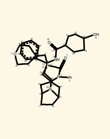 CC(C)N1C(=O)N(CC2CCOCC2)CC12CC1CCC(C2)N1CC[C@H](NC(=O)C1CCC(O)CC1)c1ccccc1